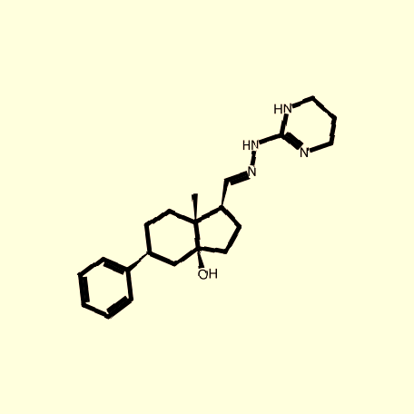 C[C@]12CC[C@H](c3ccccc3)C[C@@]1(O)CC[C@@H]2/C=N/NC1=NCCCN1